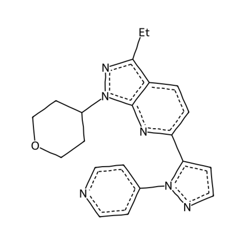 CCc1nn(C2CCOCC2)c2nc(-c3ccnn3-c3ccncc3)ccc12